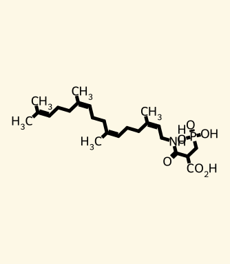 CC(C)=CCCC(C)=CCCC(C)=CCCC(C)=CCNC(=O)C(CP(=O)(O)O)C(=O)O